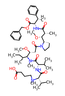 CC[C@H](C)[C@@H]([C@@H](CC(=O)N1CCC[C@H]1[C@H](OC)[C@@H](C)C(=O)N[C@H](C(=O)OCc1ccccc1)[C@@H](C)c1ccccc1)OC)N(C)C(=O)[C@@H](NC(=O)[C@H](C(C)C)N(C)CCCC(=O)O)C(C)C